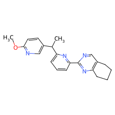 COc1ccc(C(C)c2cccc(-c3ncc4c(n3)CCCC4)n2)cn1